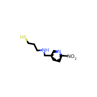 O=[N+]([O-])c1ccc(CNCCCS)cn1